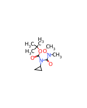 CON(C)C(=O)N(C(=O)OC(C)(C)C)C1CC1